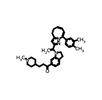 C=C(c1cc2n(n1)/C(c1ccc(C)c(C)c1)=C\C=C/CC2)N1CCc2ccc(C(=O)CCC3CCN(C)CC3)cc21